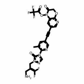 Cc1cc(C#Cc2cnc3c(c2)N(OC(=O)C(F)(F)F)C(=O)CO3)cnc1-n1cnn(CC(CN)=C(F)F)c1=O